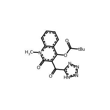 Cn1c(=O)c(C(=O)c2nnn[nH]2)c(OC(=O)C(C)(C)C)c2ccccc21